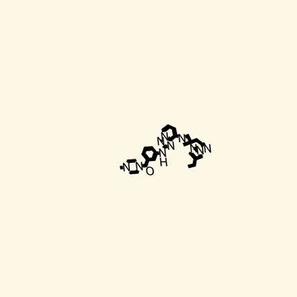 CCc1cnn(C2(CC#N)CN(c3cccn4nc(Nc5cccc(C(=O)N6CCN(C)CC6)c5)nc34)C2)c1